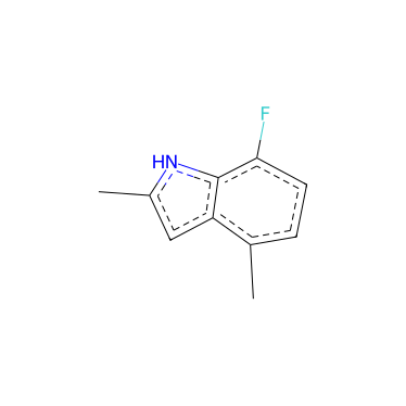 Cc1cc2c(C)ccc(F)c2[nH]1